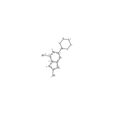 CC(C)c1nc2cc(N3CCSCC3)nc(C(C)C)n2n1